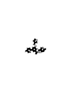 C=C(N[C@H](C)c1ccc(C)nc1)c1cc(OCC2CCOC2)cc(-c2ccc(C)cn2)c1